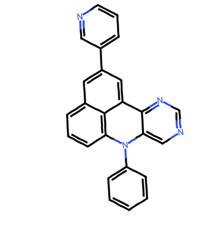 c1ccc(N2c3cncnc3-c3cc(-c4cccnc4)cc4cccc2c34)cc1